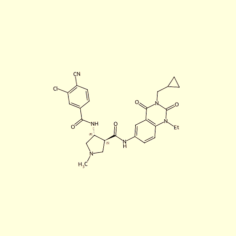 CCn1c(=O)n(CC2CC2)c(=O)c2cc(NC(=O)[C@H]3CN(C)C[C@@H]3NC(=O)c3ccc(C#N)c(Cl)c3)ccc21